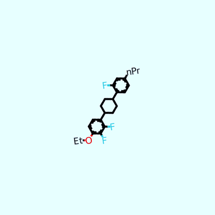 CCCc1ccc(C2CCC(c3ccc(OCC)c(F)c3F)CC2)c(F)c1